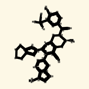 C[C@@H]1Cc2c(nc(-n3cc4c(n3)CCCC4)n(-c3cnc4c(c3)ncn4C)c2=O)CN1C(=O)c1ccc(Br)c(C(F)(F)F)c1